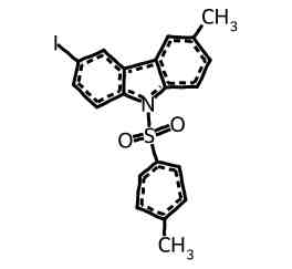 Cc1ccc(S(=O)(=O)n2c3ccc(C)cc3c3cc(I)ccc32)cc1